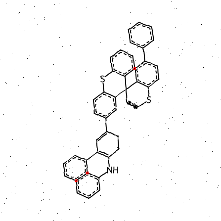 C1=C(c2ccc3c(c2)C2(c4ccccc4S3)c3ccccc3Sc3ccc(-c4ccccc4)cc32)CCC(Nc2ccccc2)=C1c1ccccc1